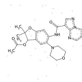 CC(=O)OC1c2cc(N3CCOCC3)c(NC(=O)c3cnn4cccnc34)cc2OC1(C)C